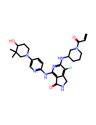 C=CC(=O)N1CCCC(Nc2nc(Nc3ccc(N4CCC(O)C(C)(C)C4)cn3)c3c(c2F)CNC3=O)C1